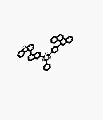 c1ccc(-c2nc(-c3ccc(-c4cc5ccccc5c5ccc6ccccc6c45)cc3)nc(-c3ccc4c(-c5cccc6oc7ccccc7c56)cccc4c3)n2)cc1